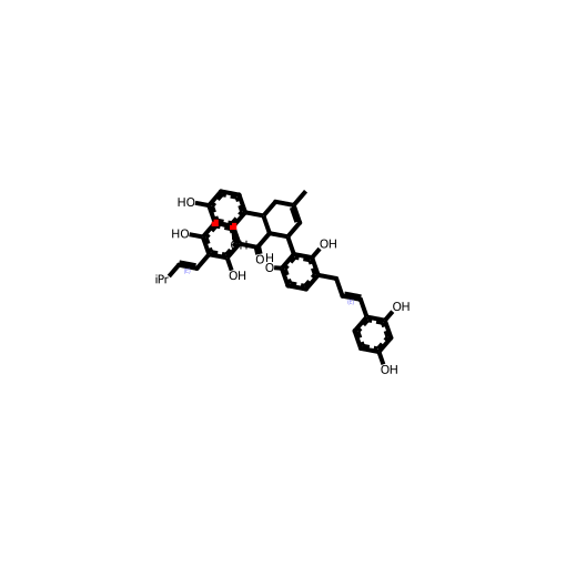 CC1=CC(c2c(O)ccc(C/C=C/c3ccc(O)cc3O)c2O)C(C(=O)c2ccc(O)c(/C=C/C(C)C)c2O)C(c2ccc(O)cc2O)C1